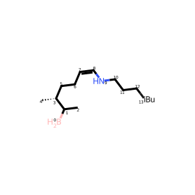 BC(C)[C@H](C)CC/C=C\NCCCC(C)CC